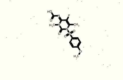 COc1ccc(S(=O)(=O)n2c(C)c(F)c(=NC(=O)O)n(C)c2=O)cc1